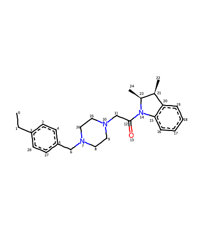 CCc1ccc(CN2CCN(CC(=O)N3c4ccccc4[C@H](C)[C@@H]3C)CC2)cc1